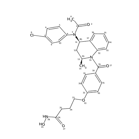 CC(=O)N(c1ccc(Cl)cc1)[C@@H]1C[C@H](C)N(C(=O)c2ccc(OCCCC(=O)NO)cc2)c2ccccc21